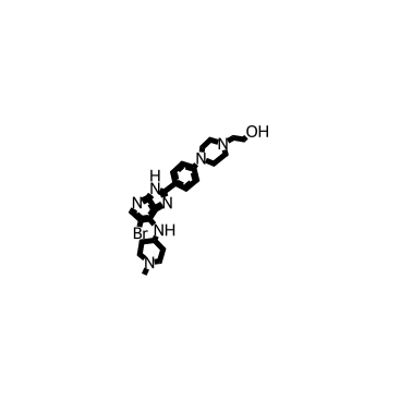 CN1CCC(Nc2c(Br)cnc3[nH]c(-c4ccc(N5CCN(CCO)CC5)cc4)nc23)CC1